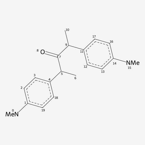 CNc1ccc(C(C)C(=O)C(C)c2ccc(NC)cc2)cc1